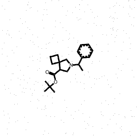 CC(c1ccccc1)N1CC(C(=O)OC(C)(C)C)C2(CCC2)C1